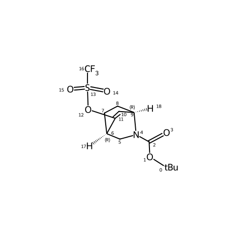 CC(C)(C)OC(=O)N1C[C@H]2CC[C@@H]1C=C2OS(=O)(=O)C(F)(F)F